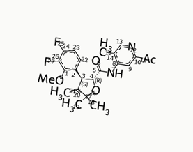 COc1c([C@H]2[C@H](C(=O)Nc3cc(C(C)=O)ncc3C)OC(C)(C)[C@H]2C)ccc(F)c1F